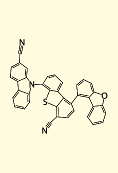 N#Cc1ccc2c3ccccc3n(-c3cccc4c3sc3c(C#N)ccc(-c5cccc6oc7ccccc7c56)c34)c2c1